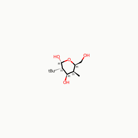 C[C@H]1[C@@H](O)[C@H](C(C)(C)C)[C@H](O)O[C@H]1CO